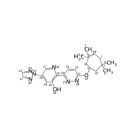 CC1(C)CCC(C)(C)CC(Oc2ccc(-c3ncc(-n4nccn4)cc3O)nn2)C1